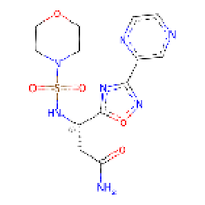 NC(=O)C[C@H](NS(=O)(=O)N1CCOCC1)c1nc(-c2cnccn2)no1